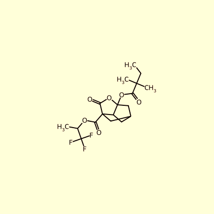 CCC(C)(C)C(=O)OC12CC3CC1C(C(=O)OC(C)C(F)(F)F)(C3)C(=O)O2